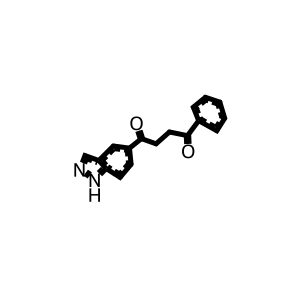 O=C(CCC(=O)c1ccc2[nH]ncc2c1)c1ccccc1